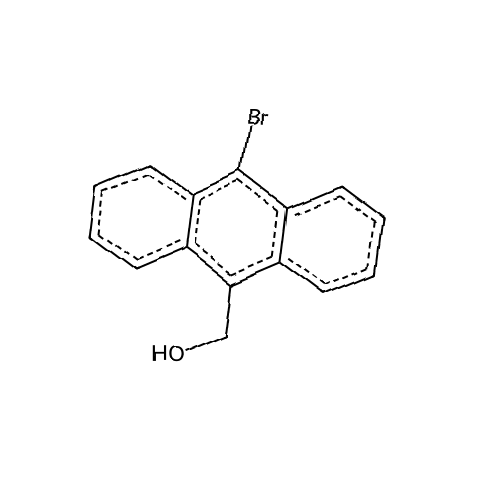 OCc1c2ccccc2c(Br)c2ccccc12